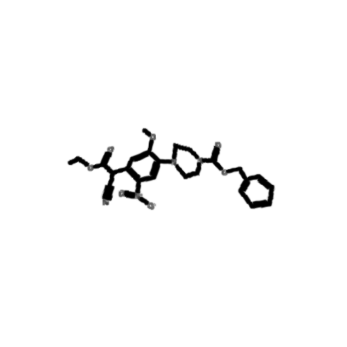 CCOC(=O)C(C#N)c1cc(OC)c(N2CCN(C(=O)OCc3ccccc3)CC2)cc1[N+](=O)[O-]